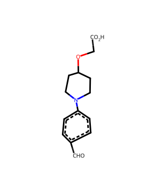 O=Cc1ccc(N2CCC(OCC(=O)O)CC2)cc1